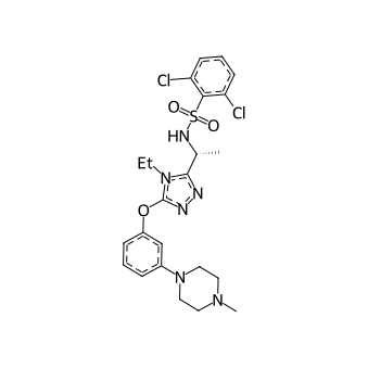 CCn1c(Oc2cccc(N3CCN(C)CC3)c2)nnc1[C@@H](C)NS(=O)(=O)c1c(Cl)cccc1Cl